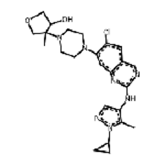 Cc1c(Nc2ncc3cc(Cl)c(N4CCN(C5(C)COCC5O)CC4)cc3n2)cnn1C1CC1